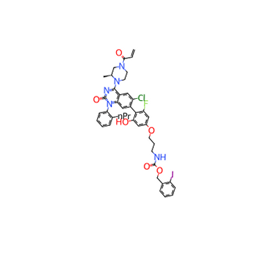 C=CC(=O)N1CCN(c2nc(=O)n(-c3ccccc3CCC)c3cc(-c4c(O)cc(OCCCNC(=O)OCc5ccccc5I)cc4F)c(Cl)cc23)[C@@H](C)C1